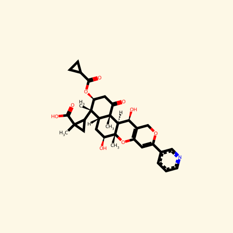 CC1(C(=O)O)CC1[C@]1(C)[C@@H](OC(=O)C2CC2)CC(=O)[C@]2(C)[C@H]3[C@@H](O)C4=C(C=C(c5cccnc5)OC4)O[C@]3(C)[C@@H](O)C[C@@H]21